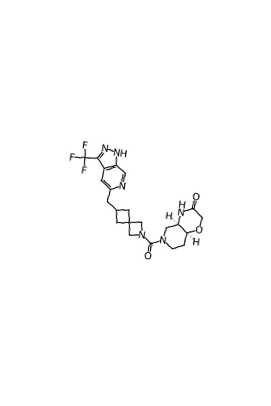 O=C1CO[C@H]2CCN(C(=O)N3CC4(CC(Cc5cc6c(C(F)(F)F)n[nH]c6cn5)C4)C3)C[C@H]2N1